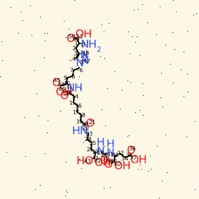 NC(Cc1cn(CCCCC(NC(=O)CCCCCCC(=O)NCCCCC(NC(=O)NC(CCC(=O)O)C(=O)O)C(O)O)C(=O)O)nn1)C(=O)O